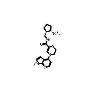 N[C@H]1CCC[C@@H]1CNC(=O)C1=CN(c2ccnc3[nH]ccc23)CCS1